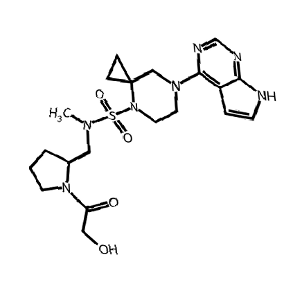 CN(CC1CCCN1C(=O)CO)S(=O)(=O)N1CCN(c2ncnc3[nH]ccc23)CC12CC2